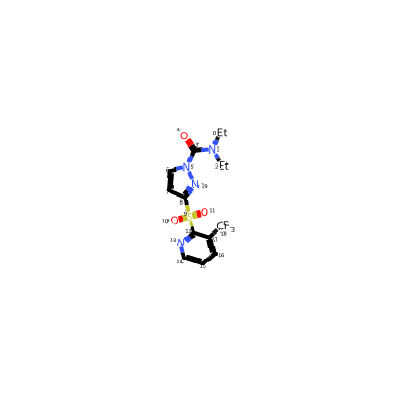 CCN(CC)C(=O)n1ccc(S(=O)(=O)c2ncccc2C(F)(F)F)n1